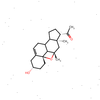 CC(=O)[C@H]1CCC2C3CC=C4C[C@@H](O)CC[C@@]45O[C@@](C)(C[C@@]21C)C35